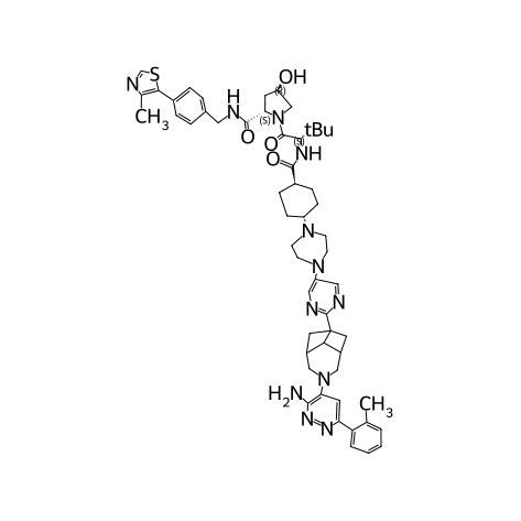 Cc1ccccc1-c1cc(N2CC3CC4(c5ncc(N6CCN([C@H]7CC[C@H](C(=O)N[C@H](C(=O)N8C[C@H](O)C[C@H]8C(=O)NCc8ccc(-c9scnc9C)cc8)C(C)(C)C)CC7)CC6)cn5)CC(C2)C34)c(N)nn1